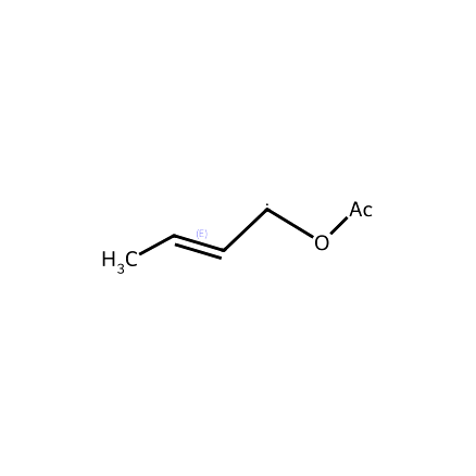 C/C=C/[CH]OC(C)=O